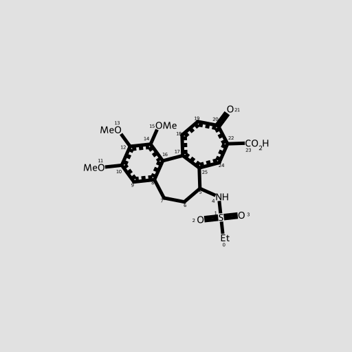 CCS(=O)(=O)NC1CCc2cc(OC)c(OC)c(OC)c2-c2ccc(=O)c(C(=O)O)cc21